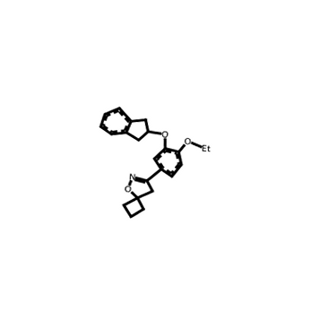 CCOc1ccc(C2=NOC3(CCC3)C2)cc1OC1Cc2ccccc2C1